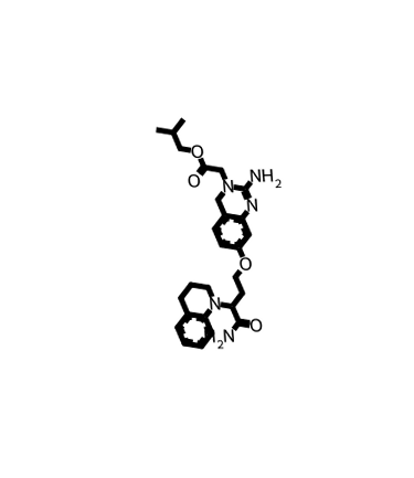 CC(C)COC(=O)CN1Cc2ccc(OCCC(C(N)=O)N3CCCc4ccccc43)cc2N=C1N